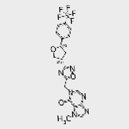 Cn1cnc2ncn(Cc3nc([C@@H]4CO[C@@H](c5ccc(S(F)(F)(F)(F)F)cc5)C4)no3)c(=O)c21